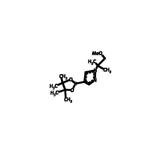 COCC(C)(C)n1cc(B2OC(C)(C)C(C)(C)O2)cn1